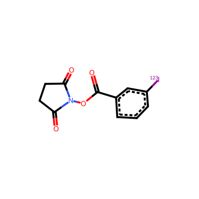 O=C(ON1C(=O)CCC1=O)c1cccc([123I])c1